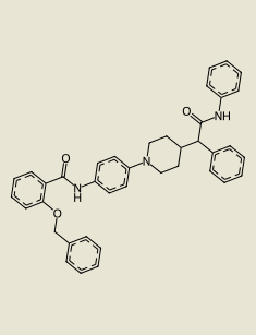 O=C(Nc1ccc(N2CCC(C(C(=O)Nc3ccccc3)c3ccccc3)CC2)cc1)c1ccccc1OCc1ccccc1